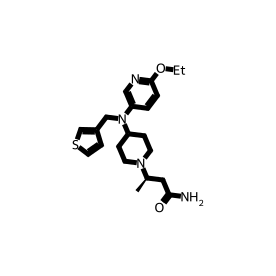 CCOc1ccc(N(Cc2ccsc2)C2CCN([C@H](C)CC(N)=O)CC2)cn1